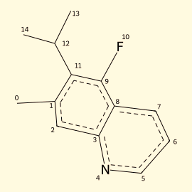 Cc1cc2ncccc2c(F)c1C(C)C